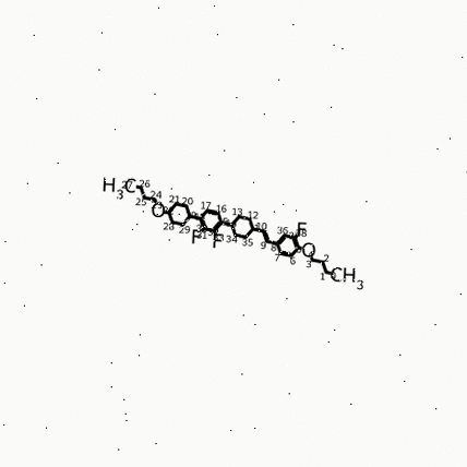 CCCCOc1ccc(/C=C/C2CCC(c3ccc(C4CCC(OCCCC)CC4)c(F)c3F)CC2)cc1F